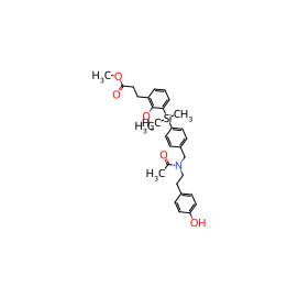 COC(=O)CCc1cccc([Si](C)(C)c2ccc(CN(CCc3ccc(O)cc3)C(C)=O)cc2)c1OC